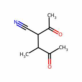 CC(=O)C(C)C(C#N)C(C)=O